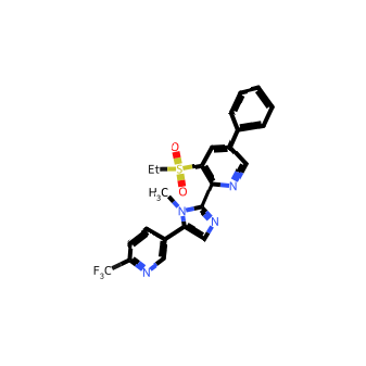 CCS(=O)(=O)c1cc(-c2ccccc2)cnc1-c1ncc(-c2ccc(C(F)(F)F)nc2)n1C